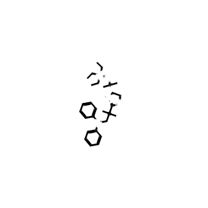 CC[Si](CC)(CC)OC(C)(C)[C@H]1N=C(C(C)(C)CP(c2ccccc2)c2ccccc2)O[C@H]1C